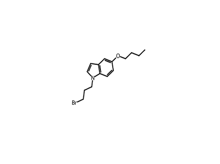 CCCCOc1ccc2c(ccn2CCCBr)c1